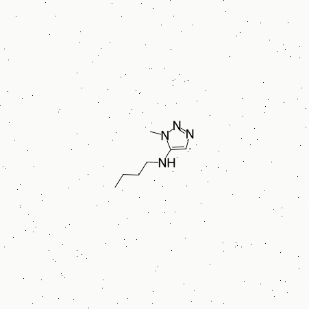 CCCCNc1[c]nnn1C